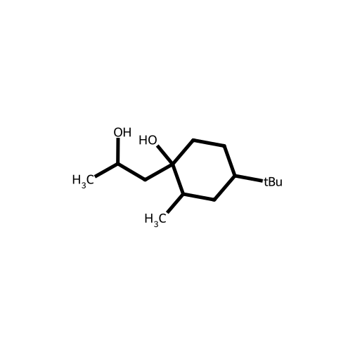 CC(O)CC1(O)CCC(C(C)(C)C)CC1C